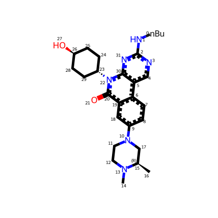 CCCCNc1ncc2c3ccc(N4CCN(C)[C@H](C)C4)cc3c(=O)n([C@H]3CC[C@H](O)CC3)c2n1